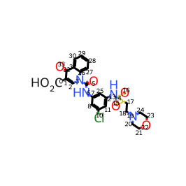 O=C(O)c1cn(C(=O)Nc2cc(Cl)cc(NS(=O)(=O)CCN3CCOCC3)c2)c2ccccc2c1=O